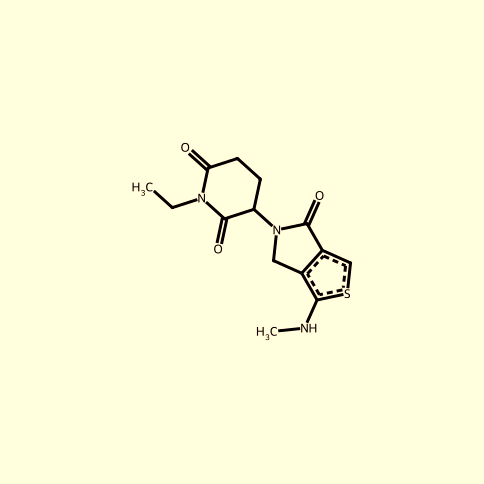 CCN1C(=O)CCC(N2Cc3c(csc3NC)C2=O)C1=O